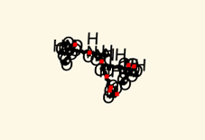 CC(=O)NC1C(OCCCCC(=O)NCCN(CCN)C(=O)CC[C@H](NC(=O)CCCCOC2OC(COC(C)=O)C(OC(C)=O)C(OC(C)=O)C2NC(C)=O)C(=O)NCCCCCC(=O)ON2C(=O)CCC2=O)OC(COC(C)=O)C(OC(C)=O)C1OC(C)=O